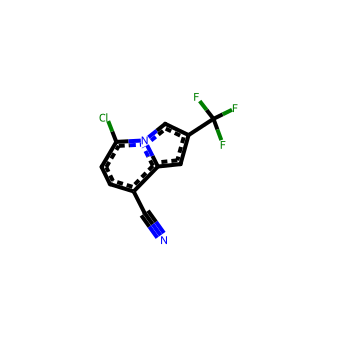 N#Cc1ccc(Cl)n2cc(C(F)(F)F)cc12